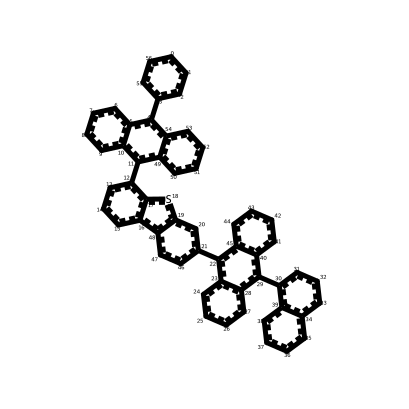 c1ccc(-c2c3ccccc3c(-c3cccc4c3sc3cc(-c5c6ccccc6c(-c6cccc7ccccc67)c6ccccc56)ccc34)c3ccccc23)cc1